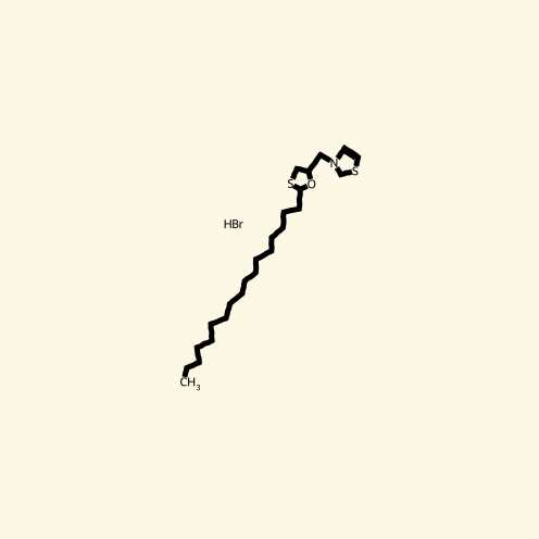 Br.CCCCCCCCCCCCCCCCCC1OC(CN2C=CSC2)CS1